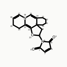 O=C1C=CC(=O)N1C1CC23CCCCC2=CN2C=CCCC2=C3O1